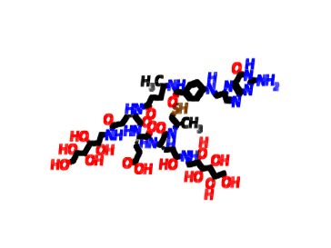 C[C@H](CCC(=O)N[C@@H](CCC(=O)NC[C@H](O)[C@@H](O)[C@H](O)[C@H](O)CO)C(=O)N[C@@H](CCC(=O)O)C(=O)N[C@@H](CCC(O)NC[C@H](O)[C@@H](O)[C@H](O)[C@H](O)CO)C(=O)N[C@H](C)CS)NC(=O)c1ccc(NCc2cnc3nc(N)[nH]c(=O)c3n2)cc1